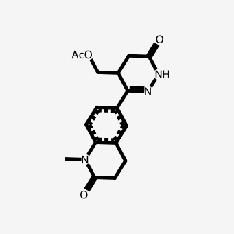 CC(=O)OCC1CC(=O)NN=C1c1ccc2c(c1)CCC(=O)N2C